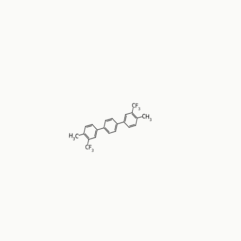 Cc1ccc(-c2ccc(-c3ccc(C)c(C(F)(F)F)c3)cc2)cc1C(F)(F)F